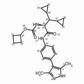 Cc1n[nH]c(C)c1-c1ccc(NC(=O)[C@@H](NC(=O)OC2CCC2)C(C2CC2)C2CC2)cc1